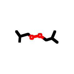 CC(C)COOCC(C)C